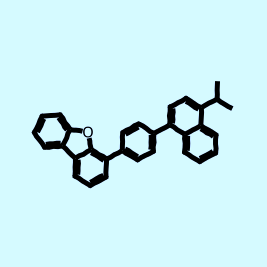 CC(C)c1ccc(-c2ccc(-c3cccc4c3oc3ccccc34)cc2)c2ccccc12